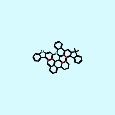 CC1(C)c2ccccc2-c2ccc(-c3ccccc3N(c3ccc4c(c3)oc3ccccc34)c3ccccc3-c3cccc4cccc(C5CCCCC5)c34)cc21